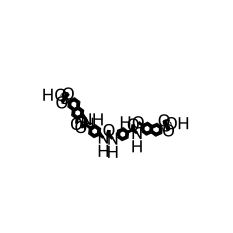 O=C(Nc1ccc(C(=O)Nc2cc3ccc(S(=O)(=O)O)cc3cc2O)cc1)Nc1ccc(C(=O)Nc2cc3ccc(S(=O)(=O)O)cc3cc2O)cc1